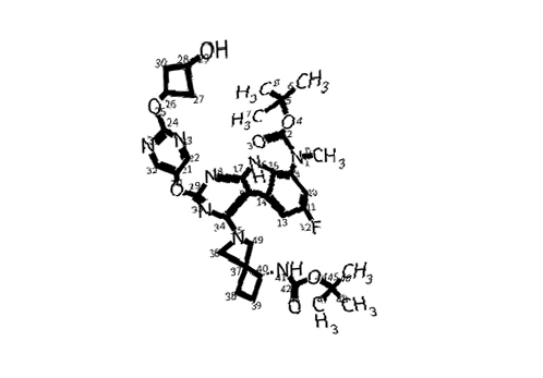 CN(C(=O)OC(C)(C)C)c1cc(F)cc2c1[nH]c1nc(Oc3cnc(OC4CC(O)C4)nc3)nc(N3CC4(CC[C@H]4NC(=O)OC(C)(C)C)C3)c12